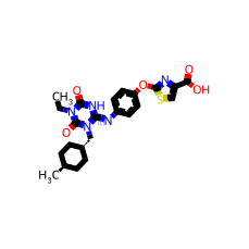 CCn1c(=O)[nH]/c(=N\c2ccc(Oc3nc(C(=O)O)cs3)cc2)n(C[C@H]2CC[C@H](C)CC2)c1=O